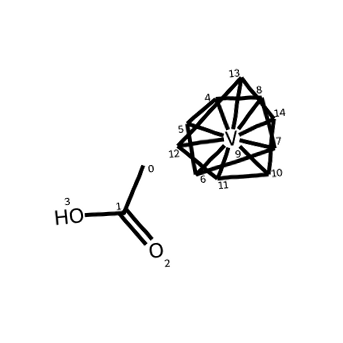 CC(=O)O.[CH]12[CH]3[CH]4[CH]5[CH]1[V]23451678[CH]2[CH]1[CH]6[CH]7[CH]28